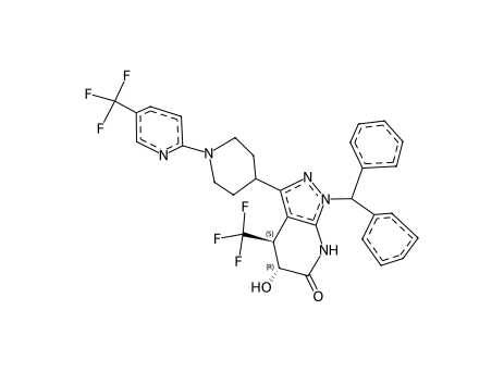 O=C1Nc2c(c(C3CCN(c4ccc(C(F)(F)F)cn4)CC3)nn2C(c2ccccc2)c2ccccc2)[C@H](C(F)(F)F)[C@H]1O